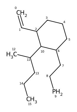 C=CC1CCCC(CCP)C1C(C)CCC